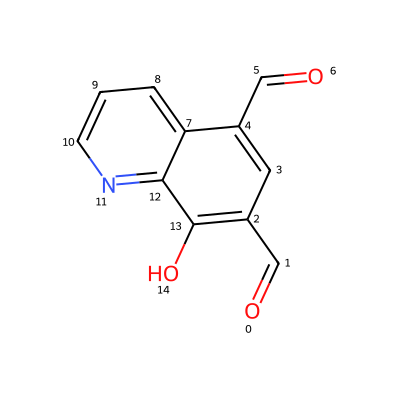 O=Cc1cc(C=O)c2cccnc2c1O